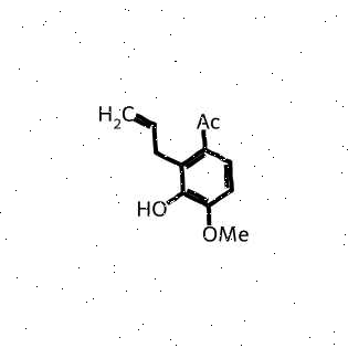 C=CCc1c(C(C)=O)ccc(OC)c1O